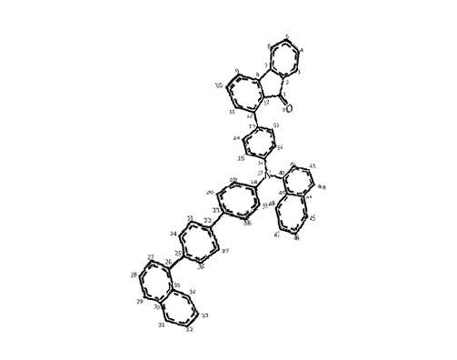 O=C1c2ccccc2-c2cccc(-c3ccc(N(c4ccc(-c5ccc(-c6cccc7ccccc67)cc5)cc4)c4cccc5ccccc45)cc3)c21